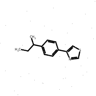 CCC(C)c1ccc(-c2cs[c]n2)cc1